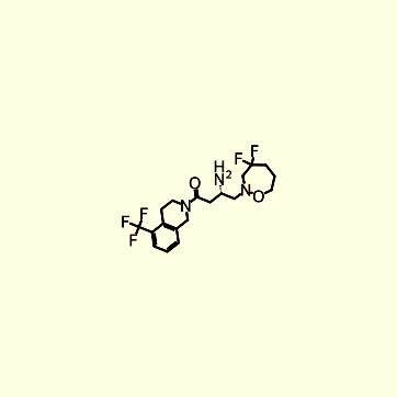 N[C@@H](CC(=O)N1CCc2c(cccc2C(F)(F)F)C1)CN1CC(F)(F)CCCO1